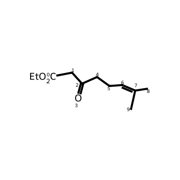 CCOC(=O)CC(=O)CCC=C(C)C